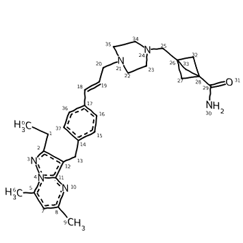 CCc1nn2c(C)cc(C)nc2c1Cc1ccc(/C=C/CN2CCN(CC34CC(C(N)=O)(C3)C4)CC2)cc1